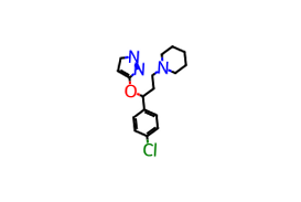 Clc1ccc(C(CCN2CCCCC2)OC2=CCN=N2)cc1